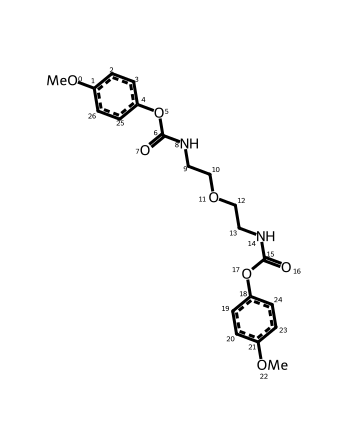 COc1ccc(OC(=O)NCCOCCNC(=O)Oc2ccc(OC)cc2)cc1